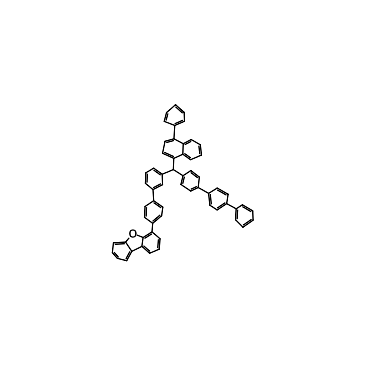 c1ccc(-c2ccc(-c3ccc(C(c4cccc(-c5ccc(-c6cccc7c6oc6ccccc67)cc5)c4)c4ccc(-c5ccccc5)c5ccccc45)cc3)cc2)cc1